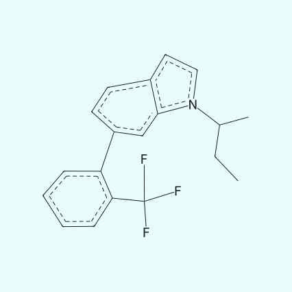 CCC(C)n1ccc2ccc(-c3ccccc3C(F)(F)F)cc21